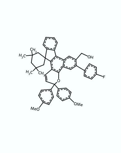 COc1ccc(C2(c3ccc(OC)cc3)C=Cc3c4c(c5cc(CO)c(-c6ccc(F)cc6)cc5c3O2)-c2ccccc2C42CC(C)(C)CC(C)(C)C2)cc1